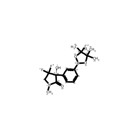 CN1CC(F)(F)[C@@](O)(c2cccc(B3OC(C)(C)C(C)(C)O3)c2)C1=O